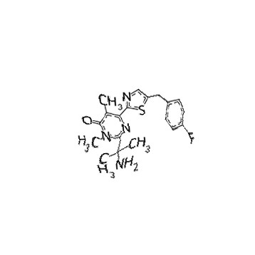 Cc1c(-c2ncc(Cc3ccc(F)cc3)s2)nc(C(C)(C)N)n(C)c1=O